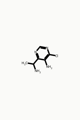 CC(N)c1ncnc(Cl)c1N